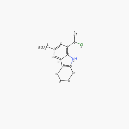 CCOC(=O)c1cc(C(Cl)CC)c2[nH]c3c(c2c1)CCCC3